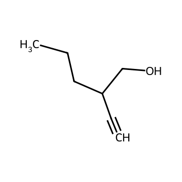 C#CC(CO)CCC